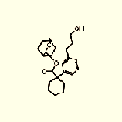 O=C(OC1CN2CCC1CC2)C1(c2cccc(CCCO)c2)CCCCC1